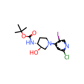 CC(C)(C)OC(=O)N[C@@H]1CCN(c2cc(Cl)ncc2I)C[C@H]1O